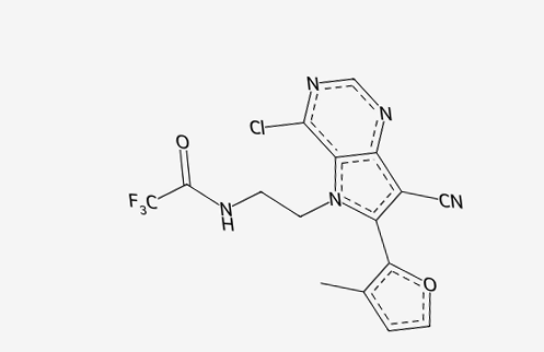 Cc1ccoc1-c1c(C#N)c2ncnc(Cl)c2n1CCNC(=O)C(F)(F)F